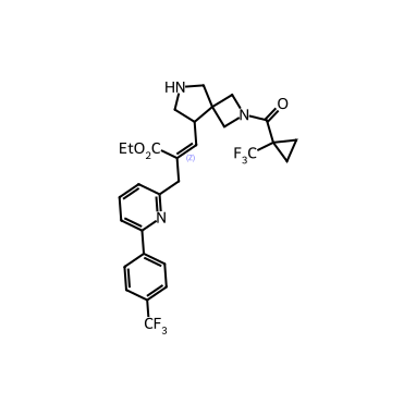 CCOC(=O)/C(=C\C1CNCC12CN(C(=O)C1(C(F)(F)F)CC1)C2)Cc1cccc(-c2ccc(C(F)(F)F)cc2)n1